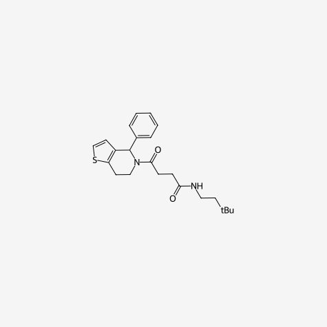 CC(C)(C)CCNC(=O)CCC(=O)N1CCc2sccc2C1c1ccccc1